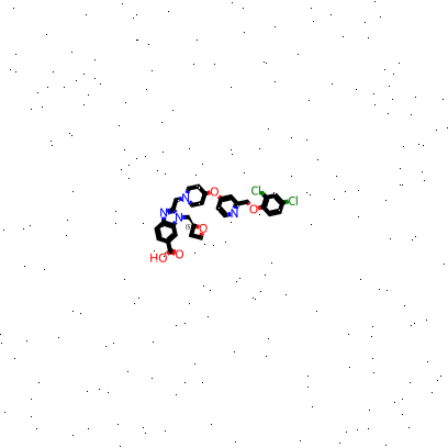 O=C(O)c1ccc2nc(CN3CCC(Oc4ccnc(COc5ccc(Cl)cc5Cl)c4)CC3)n(C[C@@H]3CCO3)c2c1